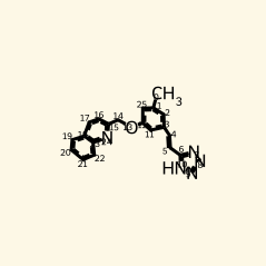 Cc1cc(C=Cc2nnn[nH]2)cc(OCc2ccc3ccccc3n2)c1